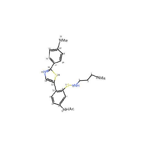 CNCCCNSc1cc(NC(C)=O)ccc1-c1cnc(-c2ccc(NC)cc2)s1